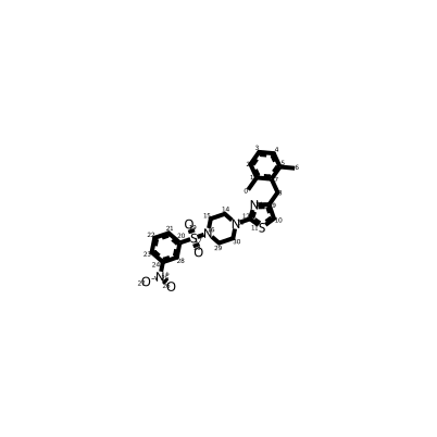 Cc1cccc(C)c1Cc1csc(N2CCN(S(=O)(=O)c3cccc([N+](=O)[O-])c3)CC2)n1